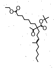 CCCCC/C(C)=C/CCC(CCCCCCC(=O)OCC)(C(C)=O)C(=O)OC(C)(C)C